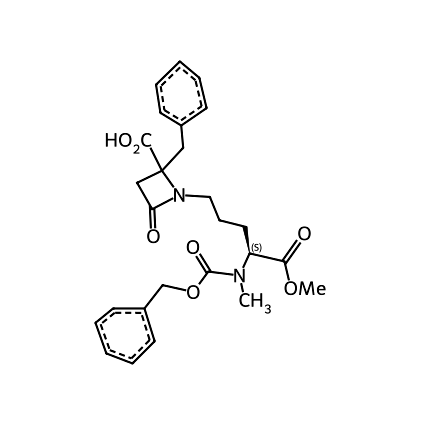 COC(=O)[C@H](CCCN1C(=O)CC1(Cc1ccccc1)C(=O)O)N(C)C(=O)OCc1ccccc1